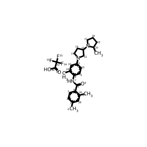 Cc1ccc(C(=O)Nc2ccc(N3CCC(N4CCCC4C)C3)cc2C)c(C)c1.O=C(O)C(F)(F)F